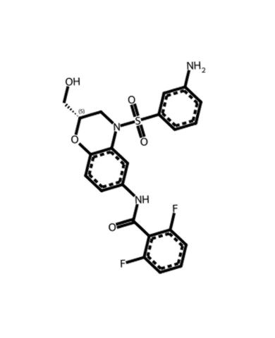 Nc1cccc(S(=O)(=O)N2C[C@@H](CO)Oc3ccc(NC(=O)c4c(F)cccc4F)cc32)c1